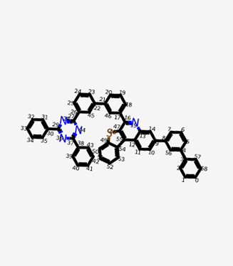 c1ccc(-c2cccc(-c3ccc4c(c3)nc(-c3cccc(-c5cccc(-c6nc(-c7ccccc7)nc(-c7ccccc7)n6)c5)c3)c3sc5ccccc5c34)c2)cc1